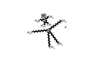 CCCCCCCCCCCC[N+](CCCCCCCCCCCC)(CCCCCCCCCCCC)CCCCCCCCCCCC.CCCC[N+](CCCC)(CCCC)CCCC.[I-].[O-][Cl+3]([O-])([O-])[O-]